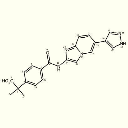 CC(C)(C(=O)O)c1ccc(C(=O)Nc2cn3cc(-c4cn[nH]c4)ccc3n2)cc1